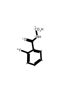 O=C(O)NC(=O)c1ccccc1F